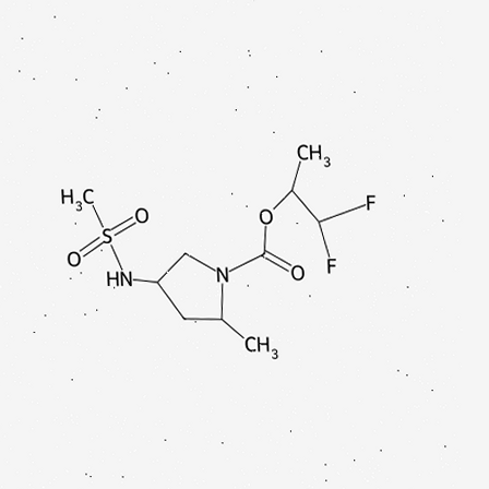 CC(OC(=O)N1CC(NS(C)(=O)=O)CC1C)C(F)F